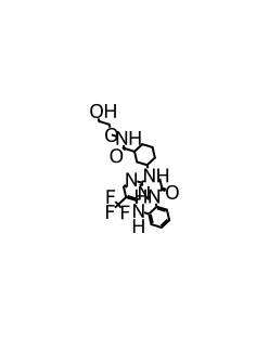 CC(=O)Nc1ccccc1Nc1nc(NC2CCCC(C(=O)NOCCO)C2)ncc1C(F)(F)F